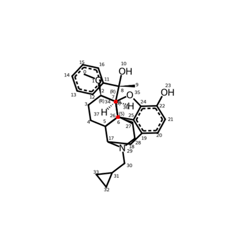 CO[C@]12CCC3(C[C@@H]1[C@@](C)(O)c1ccccc1)C1Cc4ccc(O)c5c4[C@@]3(CCN1CC1CC1)[C@@H]2O5